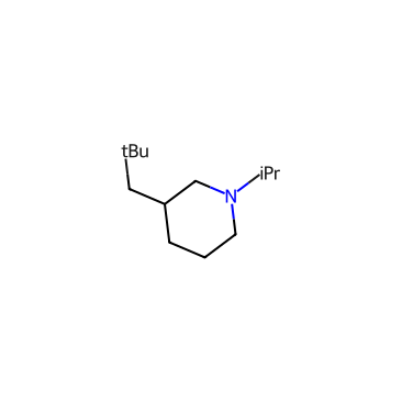 CC(C)N1CCCC(CC(C)(C)C)C1